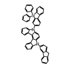 c1ccc([Si]2(c3ccccc3)c3ccccc3-c3ccc(-n4c5ccccc5c5c6c7ccccc7n(-c7ccc8c(c7)-c7ccccc7C8)c6ccc54)cc32)cc1